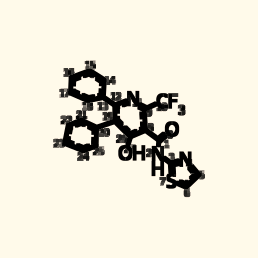 O=C(Nc1nccs1)c1c(C(F)(F)F)nc(-c2ccccc2)c(-c2ccccc2)c1O